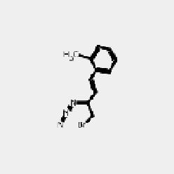 Cc1ccccc1/C=C/C(CBr)N=[N+]=[N-]